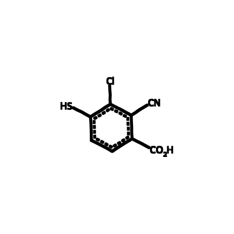 N#Cc1c(C(=O)O)ccc(S)c1Cl